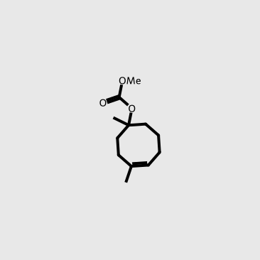 COC(=O)OC1(C)CCCC=C(C)CC1